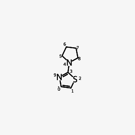 [c]1csc(N2CCCC2)n1